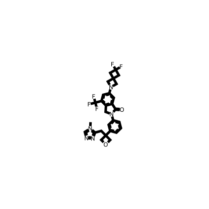 Cn1cnnc1CC1(c2cccc(N3Cc4c(cc(N5CC6(C5)CC(F)(F)C6)cc4C(F)(F)F)C3=O)c2)COC1